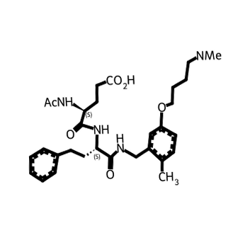 CNCCCCOc1ccc(C)c(CNC(=O)[C@H](CCc2ccccc2)NC(=O)[C@H](CCC(=O)O)NC(C)=O)c1